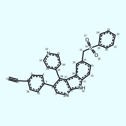 C#Cc1ccc(-c2cnc3[nH]c4ccc(CS(=O)(=O)c5ccccc5)cc4c3c2-c2ccncc2)cc1